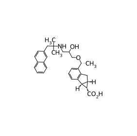 C[C@@H](OCC(O)CNC(C)(C)Cc1ccc2ccccc2c1)c1cccc2c1C[C@@H]1[C@@H](C(=O)O)[C@H]21